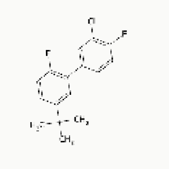 CC(C)(C)c1ccc(F)c(-c2ccc(F)c(Cl)c2)c1